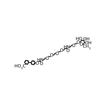 C[C@@H]1O[C@@H](OCCOCCNC(=O)CCOCCOCCOCCOCCNC(=O)COc2ccc(-c3cccc(C(=O)O)c3)cc2)[C@H](O)[C@H](O)[C@H]1O